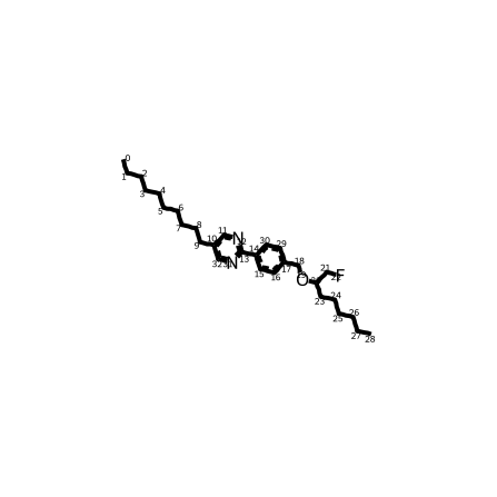 CCCCCCCCCCc1cnc(-c2ccc(COC(CF)CCCCCC)cc2)nc1